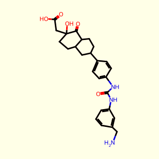 NCc1cccc(NC(=O)Nc2ccc(C3CCC4C(=O)C(O)(CC(=O)O)CCC4C3)cc2)c1